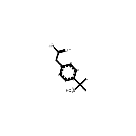 CC(C)(c1ccc(CC([NH])=O)cc1)S(=O)(=O)O